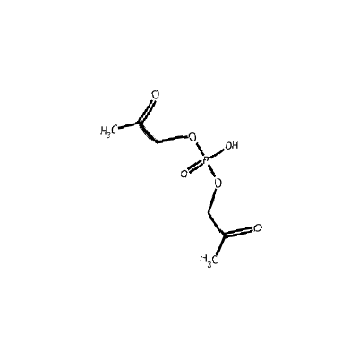 CC(=O)COP(=O)(O)OCC(C)=O